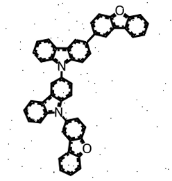 c1ccc2c(c1)oc1ccc(-c3ccc4c(c3)c3ccccc3n4-c3ccc4c(c3)c3ccccc3n4-c3ccc4oc5ccccc5c4c3)cc12